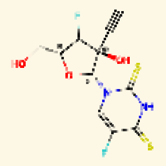 C#C[C@@]1(O)C(F)[C@@H](CO)O[C@H]1n1cc(F)c(=S)[nH]c1=S